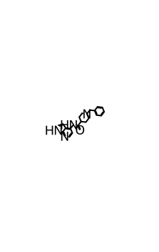 O=C(Nc1ccnc2[nH]ccc12)C1CCN(Cc2ccccc2)CC1